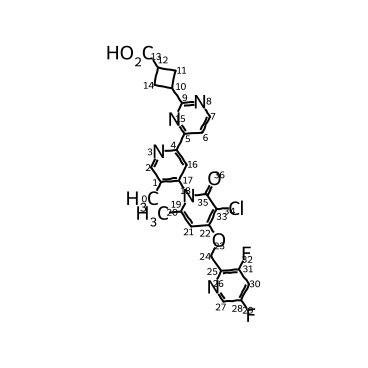 Cc1cnc(-c2ccnc(C3CC(C(=O)O)C3)n2)cc1-n1c(C)cc(OCc2ncc(F)cc2F)c(Cl)c1=O